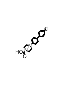 O=C(O)N1CCN(c2ccc(-c3ccc(Cl)cc3)cc2)CC1